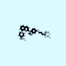 CN(C)CCCOc1ccc2c(c1)ncn2-c1ccc2cccc(N3CCC(N)CC3)c2n1